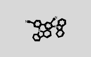 N#Cc1ccc(-c2ccc(-n3c4c(c5ccccc53)C=CCC4)c(C#N)c2)c(N2C3=C(C=CCC3)C3C=CCCC32)c1